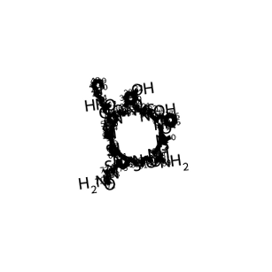 Cc1sc2nc1C(=O)N[C@@H]([C@H](O)c1ccccc1)c1nc(cs1)C(=O)N[C@@H](Cc1ccc(O)cc1)C(=O)N1C[C@H](OC(=O)NCCN3CCCC3)[C@H](C)[C@H]1c1nc(cs1)-c1nc(cs1)-c1nc(-c3nc(C(N)=O)cs3)ccc1-c1nc(cs1)C(=O)N[C@H]2CC(N)=O